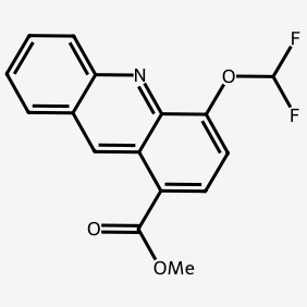 COC(=O)c1ccc(OC(F)F)c2nc3ccccc3cc12